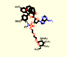 COc1ccc(C(OC(C(=O)c2ccccc2)[C@H]2O[C@@H](n3cnc4c(N)ncnc43)C[C@@H]2OP(=O)(OCCOCCO[C@@H]2O[C@H](COC(C)=O)[C@H](OC(C)=O)[C@H](OC(C)=O)[C@H]2NC(C)=O)N(C(C)C)C(C)C)(c2ccccc2)c2ccc(OC)cc2)cc1